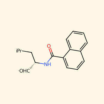 CC(C)C[C@@H]([C]=O)NC(=O)c1cccc2ccccc12